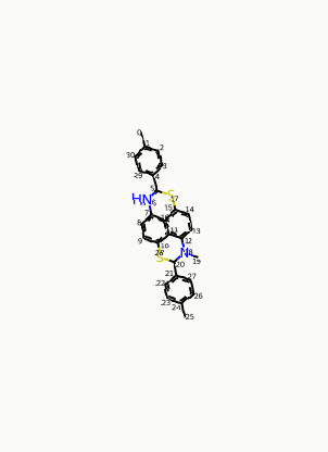 Cc1ccc(C2Nc3ccc4c5c(ccc(c35)S2)N(C)C(c2ccc(C)cc2)S4)cc1